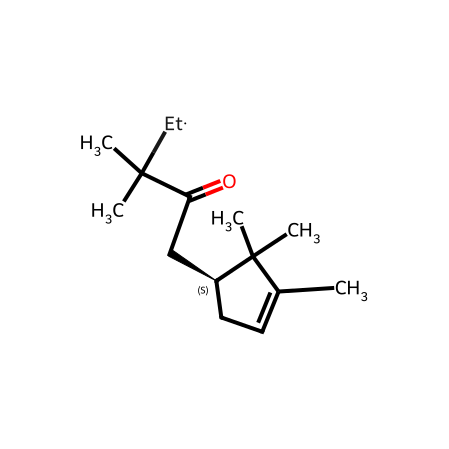 C[CH]C(C)(C)C(=O)C[C@@H]1CC=C(C)C1(C)C